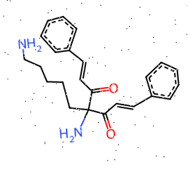 NCCCCCC(N)(C(=O)C=Cc1ccccc1)C(=O)C=Cc1ccccc1